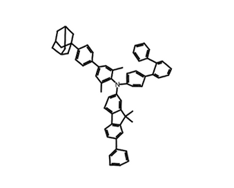 Cc1cc(-c2ccc(C34CC5CC(CC(C5)C3)C4)cc2)cc(C)c1N(c1ccc(-c2ccccc2-c2ccccc2)cc1)c1ccc2c(c1)C(C)(C)c1cc(-c3ccccc3)ccc1-2